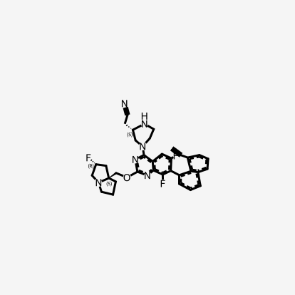 C#Cc1cccc2cccc(-c3c(F)cc4c(N5CCN[C@@H](CC#N)C5)nc(OC[C@@]56CCCN5C[C@H](F)C6)nc4c3F)c12